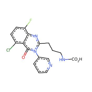 O=C(O)NCCCc1nc2c(F)ccc(Cl)c2c(=O)n1-c1cccnc1